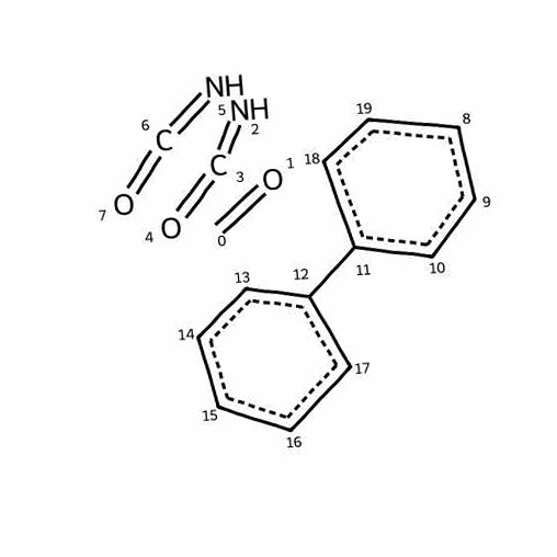 C=O.N=C=O.N=C=O.c1ccc(-c2ccccc2)cc1